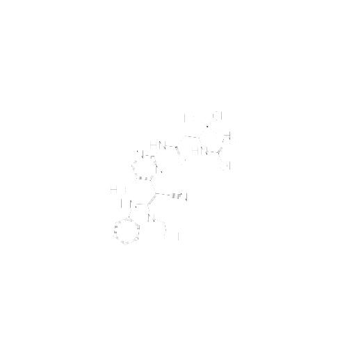 CCN1/C(=C(\C#N)c2nc(NC(=O)CC(NC(=O)O)C(C)(C)C)ncc2C)Nc2ccccc21